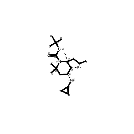 CCC[C@@]1(C)[C@H](F)[C@H](NC2CC2)CC(C)(C)N1C(=O)OC(C)(C)C